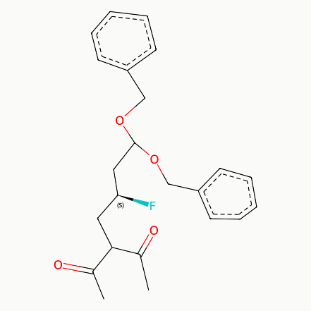 CC(=O)C(C[C@H](F)CC(OCc1ccccc1)OCc1ccccc1)C(C)=O